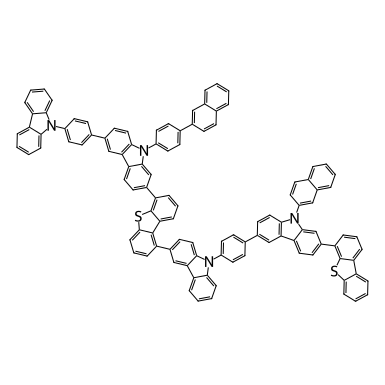 c1ccc2cc(-c3ccc(-n4c5ccc(-c6ccc(-n7c8ccccc8c8ccccc87)cc6)cc5c5ccc(-c6cccc7c6sc6cccc(-c8ccc9c(c8)c8ccccc8n9-c8ccc(-c9ccc%10c(c9)c9ccc(-c%11cccc%12c%11sc%11ccccc%11%12)cc9n%10-c9ccc%10ccccc%10c9)cc8)c67)cc54)cc3)ccc2c1